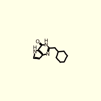 O=c1[nH]c(CC2CCCCC2)nc2cc[nH]c12